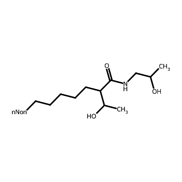 CCCCCCCCCCCCCCC(C(=O)NCC(C)O)C(C)O